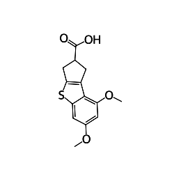 COc1cc(OC)c2c3c(sc2c1)CC(C(=O)O)C3